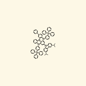 CC(C)c1ccc2c(c1)c1cc(C(C)C)ccc1n2-c1cc2c3c(c1)N(c1cccc([Si](c4ccccc4)(c4ccccc4)c4ccccc4)c1)c1ccc(-c4ccccc4)cc1B3c1ccccc1N2c1ccc([Si](c2ccccc2)(c2ccccc2)c2ccccc2)cc1